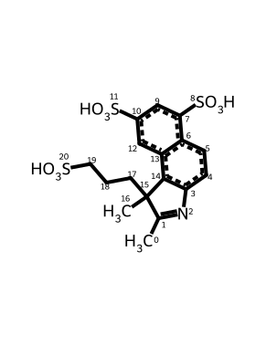 CC1=Nc2ccc3c(S(=O)(=O)O)cc(S(=O)(=O)O)cc3c2C1(C)CCCS(=O)(=O)O